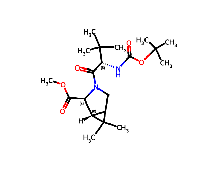 COC(=O)[C@@H]1[C@@H]2C(CN1C(=O)[C@@H](NC(=O)OC(C)(C)C)C(C)(C)C)C2(C)C